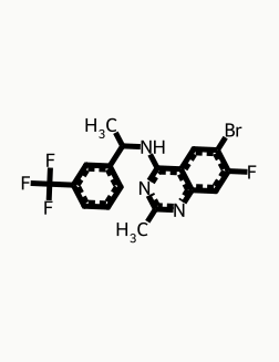 Cc1nc(NC(C)c2cccc(C(F)(F)F)c2)c2cc(Br)c(F)cc2n1